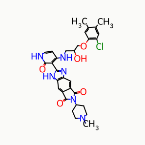 Cc1cc(Cl)c(OCC(O)CNc2cc[nH]c(=O)c2-c2nc3cc4c(cc3[nH]2)C(=O)N(C2CCN(C)CC2)C4=O)cc1C